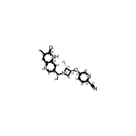 Cc1cc2ncc([C@H](C)N3C[C@H](Oc4ccc(C#N)nc4)[C@H]3C)cc2[nH]c1=O